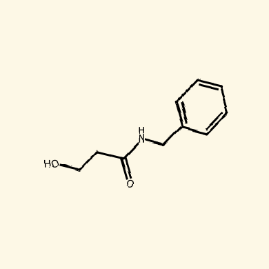 O=C([CH]CO)NCc1ccccc1